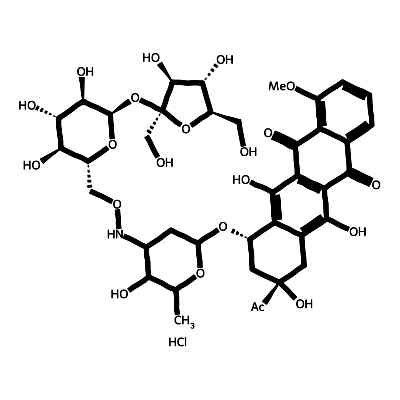 COc1cccc2c1C(=O)c1c(O)c3c(c(O)c1C2=O)C[C@@](O)(C(C)=O)C[C@@H]3OC1CC(NOC[C@H]2O[C@H](O[C@]3(CO)O[C@H](CO)[C@@H](O)[C@@H]3O)[C@H](O)[C@@H](O)[C@@H]2O)C(O)C(C)O1.Cl